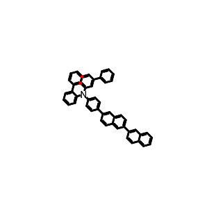 c1ccc(-c2cccc(N(c3ccc(-c4ccc5cc(-c6ccc7ccccc7c6)ccc5c4)cc3)c3ccccc3-c3ccccc3)c2)cc1